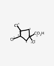 O=C(O)C1(Cl)CC(Cl)C(Cl)C1